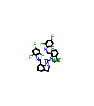 Cl.Cl.Fc1cc(F)c(N=Cc2cccc3c2[N]([Ti][N]2CCc4cccc(C=Nc5c(F)cc(F)cc5F)c42)CC3)c(F)c1